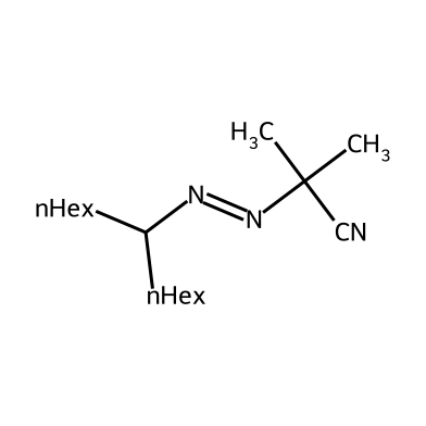 CCCCCCC(CCCCCC)/N=N/C(C)(C)C#N